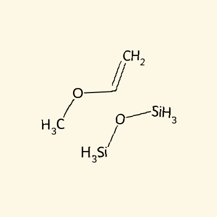 C=COC.[SiH3]O[SiH3]